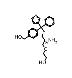 N[C@H](COCCO)CSC(c1ccccc1)(c1ccc(CO)cc1)c1ccsc1